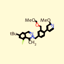 C=C1c2c(F)cc(C(C)(C)C)cc2C=NN1Cc1ccc(-c2ccnc(OC)c2)c(COCOC)c1